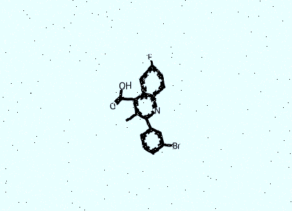 Cc1c(-c2cccc(Br)c2)nc2ccc(F)cc2c1C(=O)O